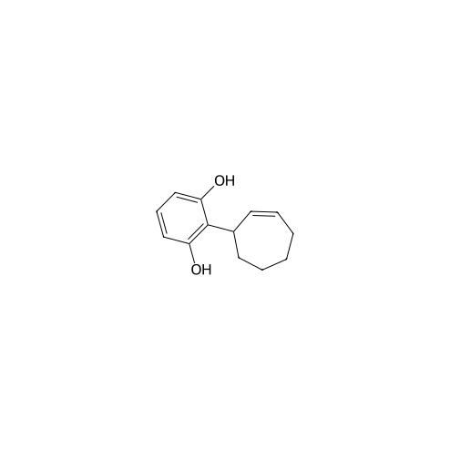 Oc1cccc(O)c1C1C=CCCCC1